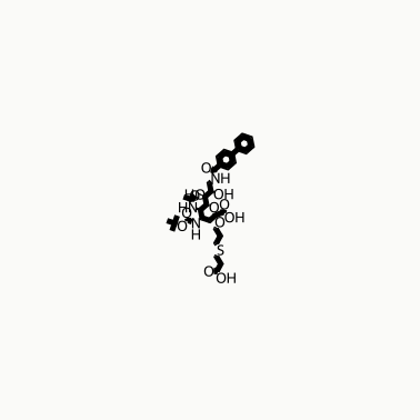 CC(=O)N[C@H]1[C@H]([C@H](O)[C@H](O)CNC(=O)c2ccc(-c3ccccc3)cc2)O[C@@](OCCCSCCC(=O)O)(C(=O)O)C[C@@H]1NC(=O)OC(C)(C)C